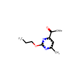 COC(=O)c1cc(C)nc(OCCC(F)(F)F)n1